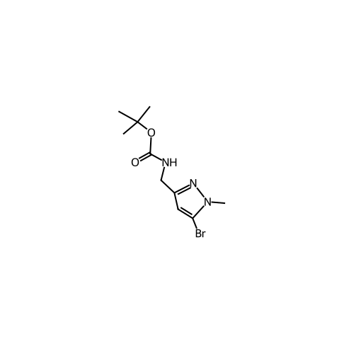 Cn1nc(CNC(=O)OC(C)(C)C)cc1Br